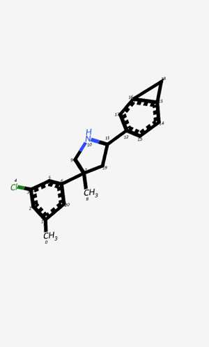 Cc1cc(Cl)cc(C2(C)CNC(c3ccc4c(c3)C4)C2)c1